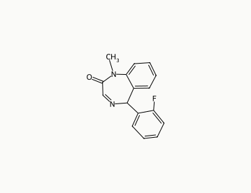 CN1C(=O)C=NC(c2ccccc2F)c2ccccc21